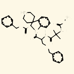 CC(C)(C)OC(=O)NC(C)(C)C(=O)NC(COCc1ccccc1)C(=O)N1c2ccccc2C2(CCNCC2)[C@@H]1C(=O)OCc1ccccc1